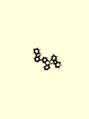 c1ccc2c(c1)B1N(c3ccc(-c4cccc5c4oc4ccccc45)cc3-2)c2cccc3c4cnccc4n1c23